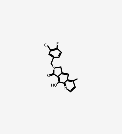 Cc1ccnc2c(O)c3c(cc12)CN(Cc1ccc(F)c(Cl)c1)C3=O